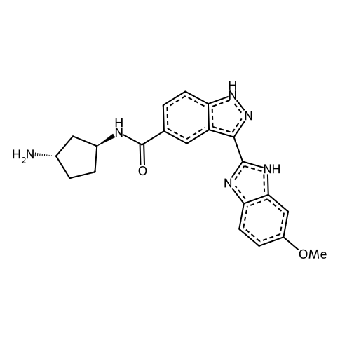 COc1ccc2nc(-c3n[nH]c4ccc(C(=O)N[C@H]5CC[C@H](N)C5)cc34)[nH]c2c1